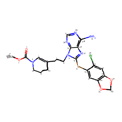 CC(C)(C)OC(=O)N1C=C(CCn2c(Sc3cc4c(cc3Br)OCO4)nc3c(N)ncnc32)CCC1